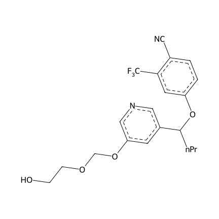 CCCC(Oc1ccc(C#N)c(C(F)(F)F)c1)c1cncc(OCOCCO)c1